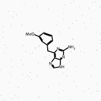 COc1cccc(Cc2nc(N)nc3[nH]cnc23)c1